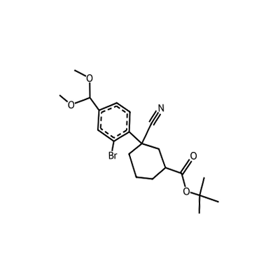 COC(OC)c1ccc(C2(C#N)CCCC(C(=O)OC(C)(C)C)C2)c(Br)c1